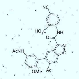 COc1ccc(NC(C)=O)cc1-c1cc2c(C(=O)Nc3ccc(C#N)cc3C(=O)O)noc2cc1C(C)=O